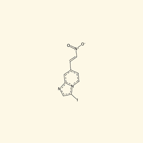 O=[N+]([O-])C=Cc1ccn2c(I)cnc2c1